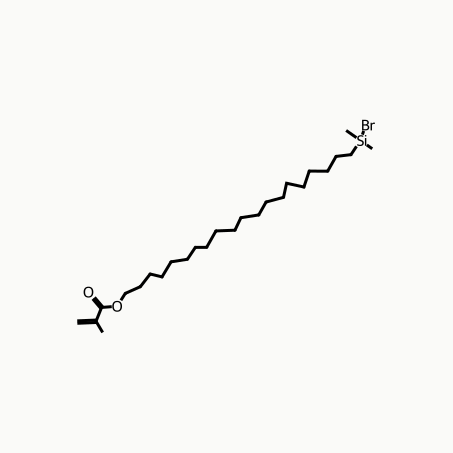 C=C(C)C(=O)OCCCCCCCCCCCCCCCCCCCC[Si](C)(C)Br